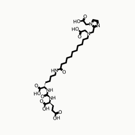 O=C(O)CC[C@H](NC(=O)N[C@@H](CCCCNC(=O)CCCCCCCCCCN(CC(=O)O)Cc1nccn1CC(=O)O)C(=O)O)C(=O)O